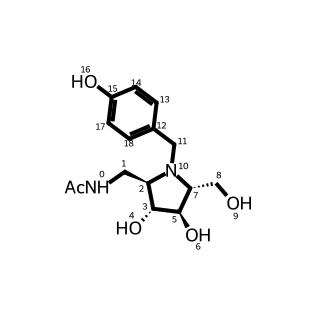 CC(=O)NC[C@@H]1[C@@H](O)[C@H](O)[C@@H](CO)N1Cc1ccc(O)cc1